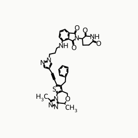 Cc1nnc2n1-c1sc(C#Cc3cnn(CCCNc4cccc5c4C(=O)N(C4CCC(=O)NC4=O)C5=O)c3)c(Cc3ccccc3)c1CO[C@H]2C